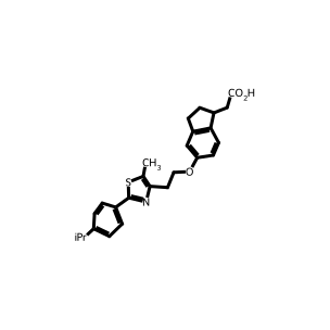 Cc1sc(-c2ccc(C(C)C)cc2)nc1CCOc1ccc2c(c1)CCC2CC(=O)O